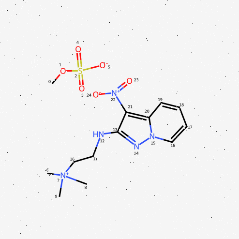 COS(=O)(=O)[O-].C[N+](C)(C)CCNc1nn2ccccc2c1[N+](=O)[O-]